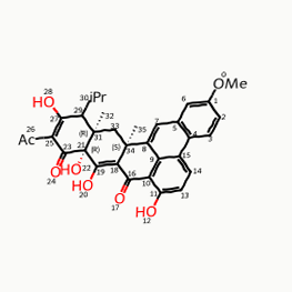 COc1ccc2c(c1)cc1c3c(c(O)ccc32)C(=O)C2=C(O)[C@@]3(O)C(=O)C(C(C)=O)=C(O)C(C(C)C)[C@@]3(C)C[C@]21C